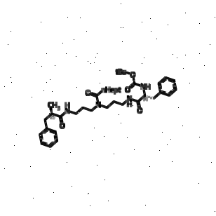 CCCCCCCC(=O)N(CCCNC(=O)[C@H](C)Cc1ccccc1)CCCNC(=O)[C@@H](Cc1ccccc1)NC(=O)OC(C)(C)C